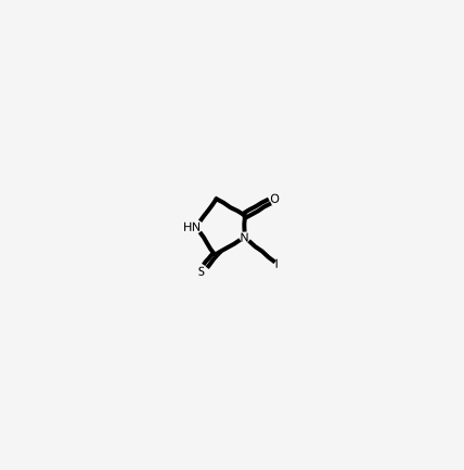 O=C1CNC(=S)N1I